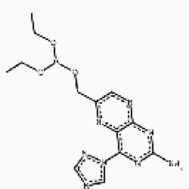 CCOP(OCC)OCc1cnc2nc(N)nc(-n3cncn3)c2n1